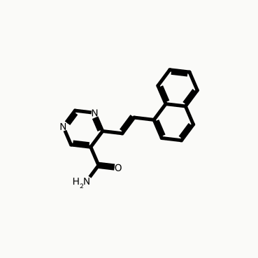 NC(=O)c1cncnc1/C=C/c1cccc2ccccc12